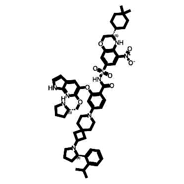 CC(C)c1ccccc1[C@H]1CCCN1C1CC2(CCN(c3ccc(C(=O)NS(=O)(=O)c4cc5c(c([N+](=O)[O-])c4)N[C@@H](C4CCC(C)(C)CC4)CO5)c(Oc4cc5cc[nH]c5nc4OC[C@@H]4CCCN4)c3)CC2)C1